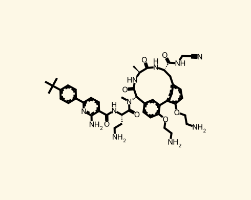 C[C@@H]1NC(=O)[C@@H](N(C)C(=O)[C@H](CCN)NC(=O)c2ccc(-c3ccc(C(C)(C)C)cc3)nc2N)c2ccc(OCCN)c(c2)-c2cc(ccc2OCCN)C[C@@H](C(=O)NCC#N)NC1=O